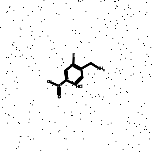 Cl.NCc1ccc([N+](=O)[O-])cc1F